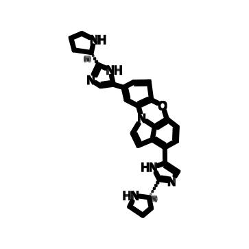 c1cc2c(cc1-c1cnc([C@@H]3CCCN3)[nH]1)-n1ccc3c(-c4cnc([C@@H]5CCCN5)[nH]4)ccc(c31)O2